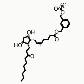 CCCCCCCC(=O)CC[C@@H]1[C@@H](C/C=C\CCCC(=O)OCc2cccc(CO[N+](=O)[O-])c2)[C@@H](O)C[C@H]1O